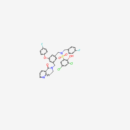 CC(C)CN(Cc1cc(CN(Cc2ccc(F)cc2)S(=O)(=O)c2cc(Cl)cc(Cl)c2O)cc(Oc2ccc(F)cc2)c1)C(=O)c1cccnc1